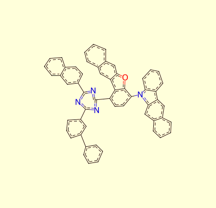 c1ccc(-c2cccc(-c3nc(-c4ccc5ccccc5c4)nc(-c4ccc(-n5c6ccccc6c6cc7ccccc7cc65)c5oc6cc7ccccc7cc6c45)n3)c2)cc1